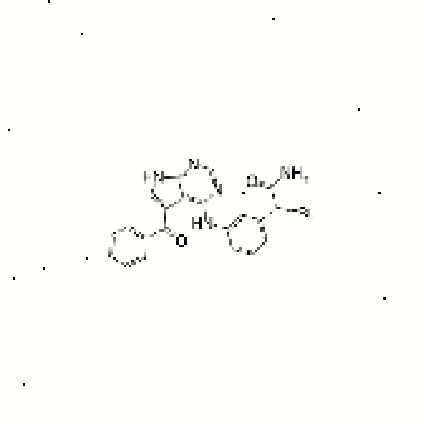 CC(C)(C)C(C(N)=O)c1cccc(Nc2ncnc3[nH]cc(C(=O)c4ccccc4)c23)c1